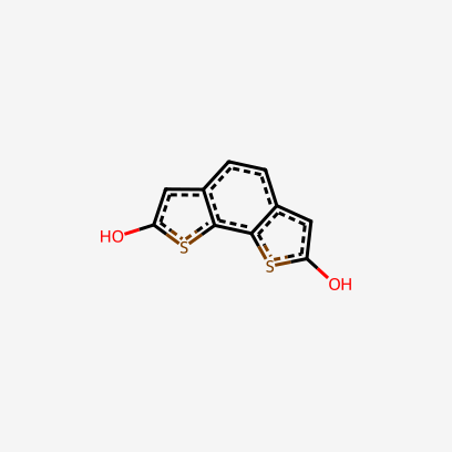 Oc1cc2ccc3cc(O)sc3c2s1